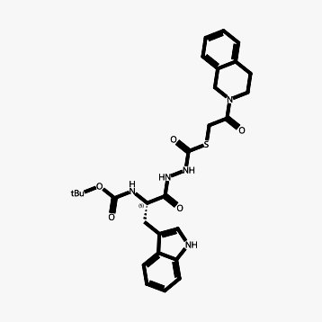 CC(C)(C)OC(=O)N[C@@H](Cc1c[nH]c2ccccc12)C(=O)NNC(=O)SCC(=O)N1CCc2ccccc2C1